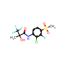 CC(O)(C(=O)Nc1ccc(S(C)(=O)=O)c(F)c1Cl)C(F)(F)F